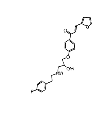 O=C(/C=C/c1ccco1)c1ccc(OCC(O)CNCCc2ccc(F)cc2)cc1